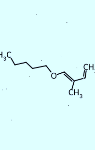 C=CC(C)=COCCCCC